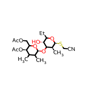 CCC1O[C@@H](SCC#N)[C@@H](C)C(O[C@@H]2OC(COC(C)=O)[C@H](OC(C)=O)C(C)C2C)[C@@H]1O